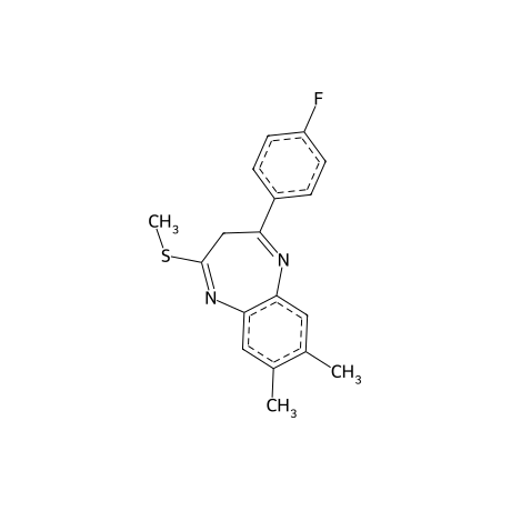 CSC1=Nc2cc(C)c(C)cc2N=C(c2ccc(F)cc2)C1